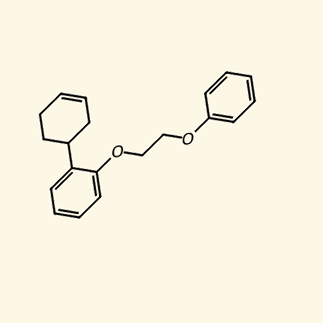 C1=CCC(c2ccccc2OCCOc2ccccc2)CC1